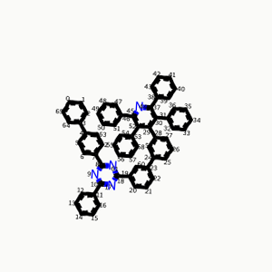 c1ccc(-c2ccc(-c3nc(-c4ccccc4)nc(-c4cccc(-c5cccc(-c6c(-c7ccccc7)c(-c7ccccc7)nc(-c7ccccc7)c6-c6ccccc6)c5)c4)n3)cc2)cc1